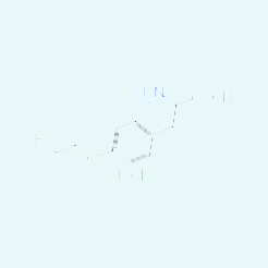 CC(c1ccc(OCCF)cc1)C(N)C(=O)O.Cl